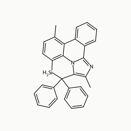 Cc1nc2c3ccccc3c3c(C)ccc4c3n2c1C(c1ccccc1)(c1ccccc1)[SiH2]4